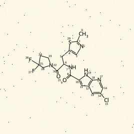 Cc1ncc(CC(NC(=O)c2cc3cc(Cl)cnc3[nH]2)C(=O)N2CCC(F)(F)C2)s1